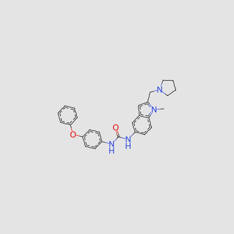 Cn1c(CN2CCCC2)cc2cc(NC(=O)Nc3ccc(Oc4ccccc4)cc3)ccc21